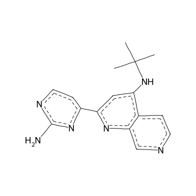 CC(C)(C)Nc1cc(-c2ccnc(N)n2)nc2cnccc12